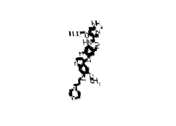 CCOc1cc(N)ncc1C(=O)Nc1cc(F)c(Oc2ccnc3cc(OCCCN4CCOCC4)c(OC)cc23)cc1F